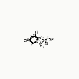 CC(C)OP(N)(=S)Oc1ncc(Cl)cc1Cl